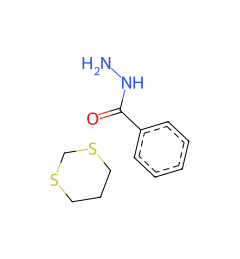 C1CSCSC1.NNC(=O)c1ccccc1